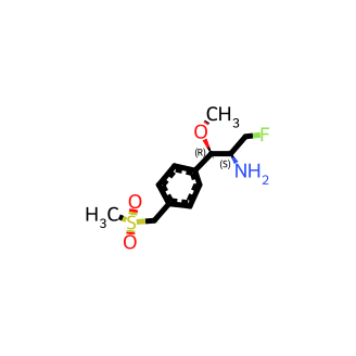 CO[C@H](c1ccc(CS(C)(=O)=O)cc1)[C@H](N)CF